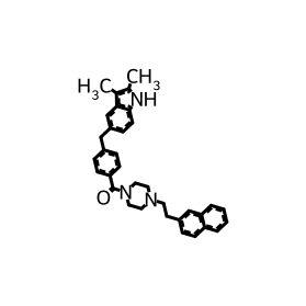 Cc1[nH]c2ccc(Cc3ccc(C(=O)N4CCN(CCc5ccc6ccccc6c5)CC4)cc3)cc2c1C